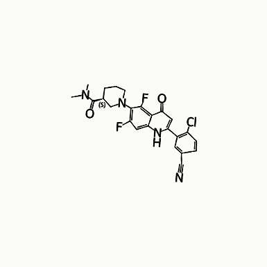 CN(C)C(=O)[C@H]1CCCN(c2c(F)cc3[nH]c(-c4cc(C#N)ccc4Cl)cc(=O)c3c2F)C1